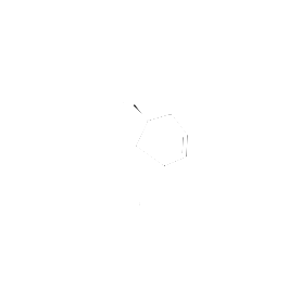 C[C@H]1CC=C[C@H](C)C1